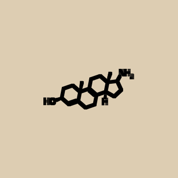 C[C@]12CC[C@H](O)C=C1CCC1=C2CC[C@]2(C)C(N)CC[C@@H]12